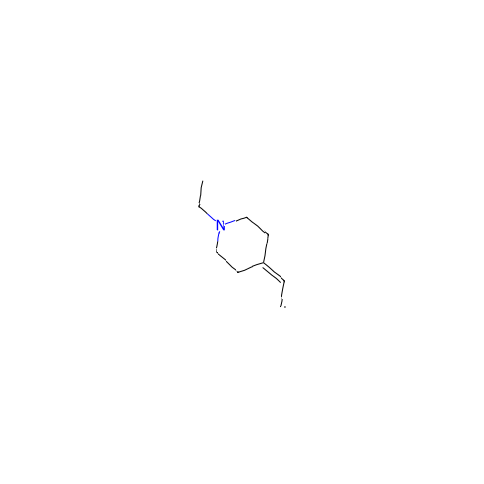 [CH2]C=C1CCN(CC)CC1